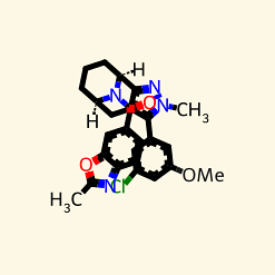 COc1cc(Cl)cc(-c2c3c(nn2C)[C@@H]2CCC[C@H](C3)N2C(=O)c2ccc3nc(C)oc3c2)c1